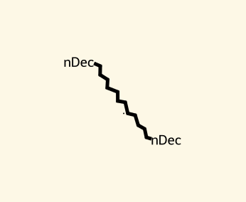 CCCCCCCCCCCCCC[CH]CCCCCCCCCCCCCCCCC